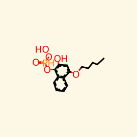 CCCCCOc1cc(O)c(O[PH](=O)OO)c2ccccc12